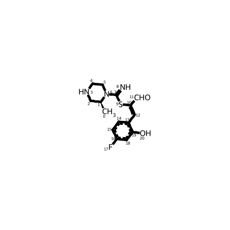 C[C@H]1CNCCN1C(=N)S/C(C=O)=C\c1ccc(F)cc1O